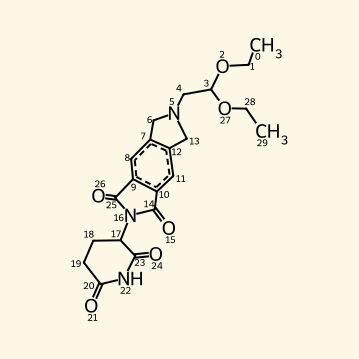 CCOC(CN1Cc2cc3c(cc2C1)C(=O)N(C1CCC(=O)NC1=O)C3=O)OCC